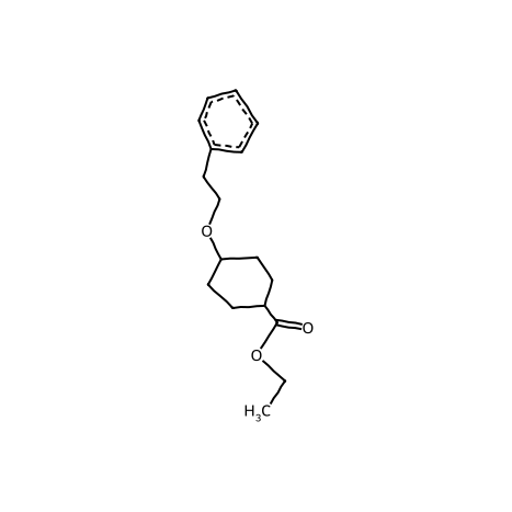 CCOC(=O)C1CCC(OCCc2ccccc2)CC1